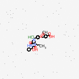 CCCCN1C(=O)[C@@H]([C@H](O)C2CCCCC2)NC(=O)C12CCN(Cc1ccc(OCc3ccc(C(=O)O)cc3OC)cc1)CC2.Cl